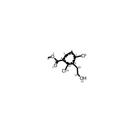 COC(=O)c1ccc(Cl)c(CCO)c1Cl